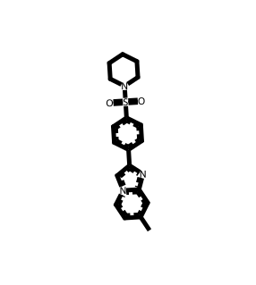 Cc1ccn2cc(-c3ccc(S(=O)(=O)N4CCCCC4)cc3)nc2c1